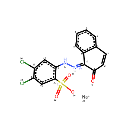 O=C1C=Cc2ccccc2/C1=N\Nc1cc(Cl)c(Cl)cc1S(=O)(=O)[O-].[Na+]